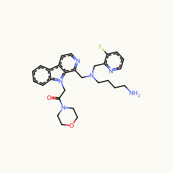 NCCCCN(Cc1ncccc1F)Cc1nccc2c3ccccc3n(CC(=O)N3CCOCC3)c12